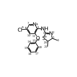 CC1N=C(Nc2ncc(Cl)cc2Oc2ccccc2)SC1C